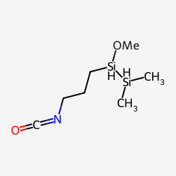 CO[SiH](CCCN=C=O)[SiH](C)C